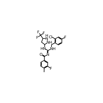 Cc1ccc(C(=O)/N=C(/NCc2ccc(F)cc2Cl)NC2CC(C(F)(F)F)NN2)cc1F